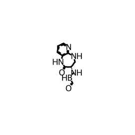 O=CBN[C@H]1CNc2ncccc2NC1=O